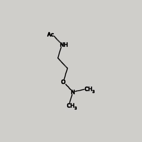 CC(=O)NCCON(C)C